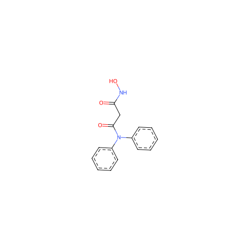 O=C(CC(=O)N(c1ccccc1)c1ccccc1)NO